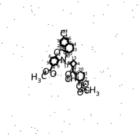 COC(=O)c1ccc2c(c1)N(C[C@@H]1CC[C@H]1[C@H](OC)[C@H]1CCC[C@H](OS(C)(=O)=O)C1)C[C@@]1(CCCc3cc(Cl)ccc31)CO2